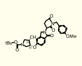 COc1ccc(CN2C(=O)CCC(N3Cc4cc(O[C@@H]5CN(C(=O)OC(C)(C)C)C[C@@H]5C)ccc4C3=O)C2=O)cc1